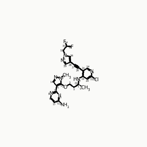 C[C@@H](CCOc1c(-c2nccc(N)n2)cnn1C)Nc1cc(Cl)ncc1C#Cc1cnn(CC(F)F)c1